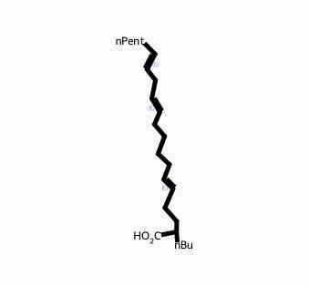 CCCCC/C=C/C/C=C/CCCC/C=C/CCC(CCCC)C(=O)O